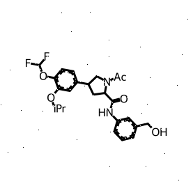 CC(=O)N1CC(c2ccc(OC(F)F)c(OC(C)C)c2)CC1C(=O)Nc1cccc(CO)c1